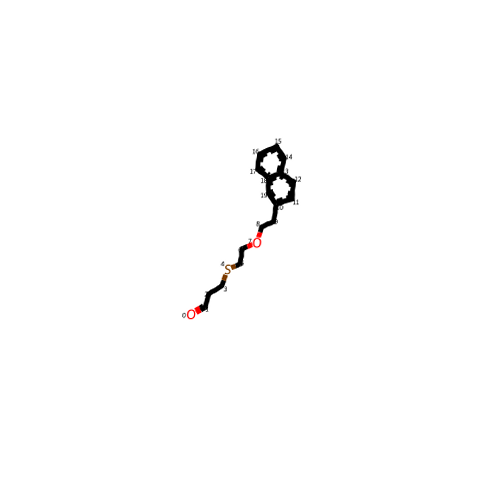 O=CCCSCCOCCc1ccc2ccccc2c1